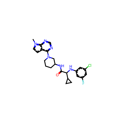 Cn1ccc2c(N3CCCC(NC(=O)C(Nc4cc(F)cc(Cl)c4)C4CC4)C3)ncnc21